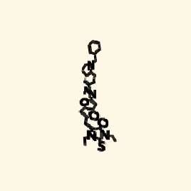 CCN1C(=O)/C(=C\c2cc3oc(/N=N/c4ccc5c(c4)CCN5Cc4ccccc4)cc3o2)N(CC)C1=S